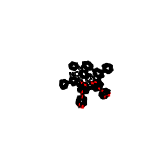 N#CC1=C(n2c3ccc(-c4ccccc4)cc3c3cc(-c4ccccc4)ccc32)C(n2c3ccc(-c4ccccc4)cc3c3cc(-c4ccccc4)ccc32)=C(n2c3ccc(-c4ccccc4)cc3c3cc(-c4ccccc4)ccc32)C2c3ccccc3N(c3ccccc3)C12